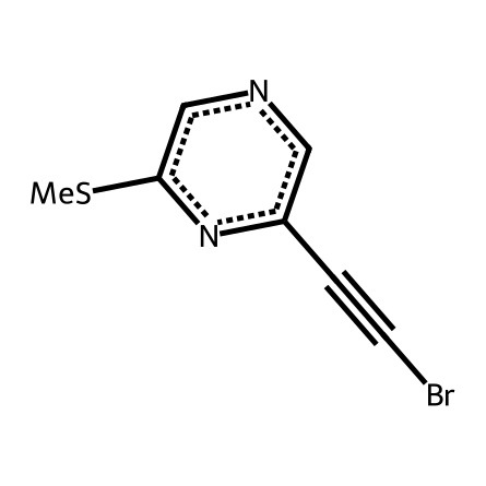 CSc1cncc(C#CBr)n1